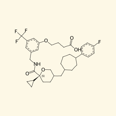 O=C(O)CCCOc1cc(CNC(=O)[C@@]2(C3CC3)CCC(CC3CCCC(c4ccc(F)cc4)CC3)CO2)cc(C(F)(F)F)c1